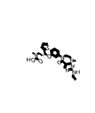 CCNc1ncc2c(n1)N(C)CCN(c1cccc(O[C@H](CCN(C)C(=O)O)c3cccs3)c1)C2=O